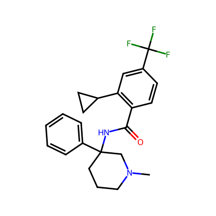 CN1CCCC(NC(=O)c2ccc(C(F)(F)F)cc2C2CC2)(c2ccccc2)C1